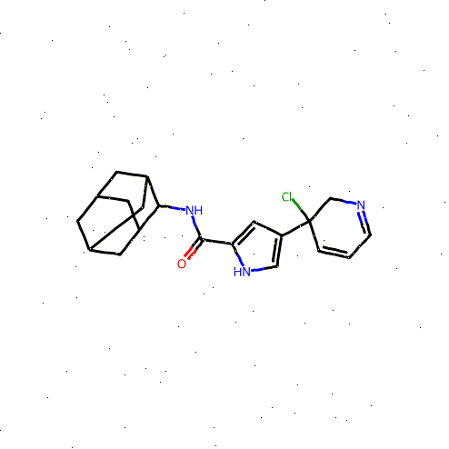 O=C(NC1C2CC3CC(C2)CC1C3)c1cc(C2(Cl)C=CC=NC2)c[nH]1